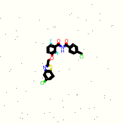 O=C(NC(=O)c1c(F)ccc(OCc2nc3cc(Cl)ccc3s2)c1F)c1ccc(CCl)cc1